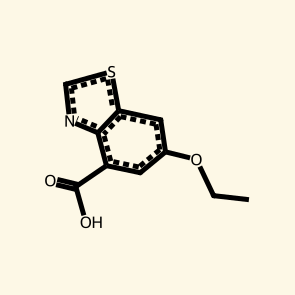 CCOc1cc(C(=O)O)c2ncsc2c1